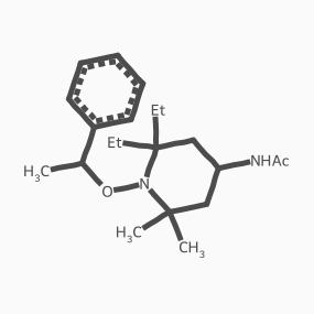 CCC1(CC)CC(NC(C)=O)CC(C)(C)N1OC(C)c1ccccc1